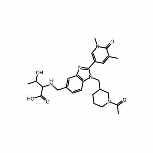 CC(=O)N1CCCC(Cn2c(-c3cc(C)c(=O)n(C)c3)nc3cc(CNC(C(=O)O)C(C)O)ccc32)C1